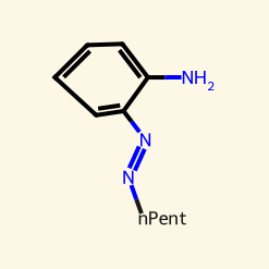 CCCCCN=Nc1ccccc1N